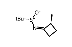 C[C@H]1CCC1=N[S@@+]([O-])C(C)(C)C